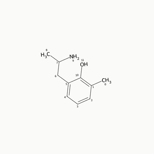 Cc1cccc(CC(C)N)c1O